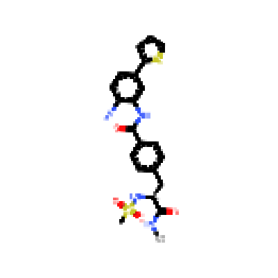 CCNC(=O)[C@H](Cc1ccc(C(=O)Nc2cc(-c3cccs3)ccc2N)cc1)NS(C)(=O)=O